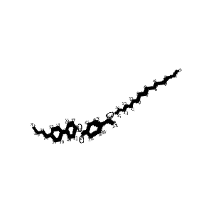 CCCCCCCCCCCCCCCCOC(C)c1ccc(C(=O)Oc2ccc(-c3ccc(CCCC)cc3)cc2)cc1